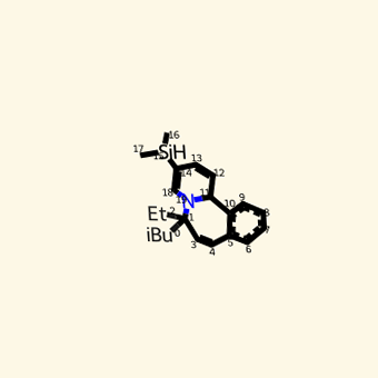 CCC(C)C1(CC)C=Cc2ccccc2C2C=CC([SiH](C)C)=CN21